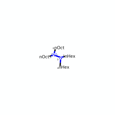 CCCCCCCC[N+](CCCCCCCC)N(CCCCCC)CCCCCC